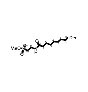 CCCCCCCCCCCCCCCCCC(=O)NCCS(=O)(=O)OC